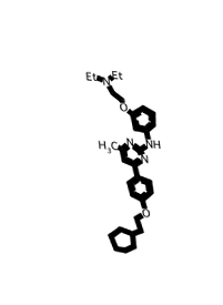 CCN(CC)CCOc1cccc(Nc2nc(C)cc(-c3ccc(OCCC4CCCCC4)cc3)n2)c1